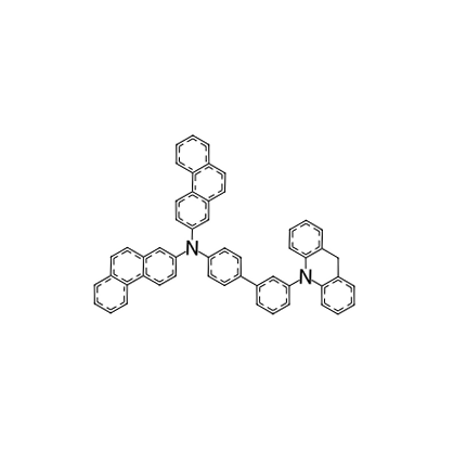 c1cc(-c2ccc(N(c3ccc4c(ccc5ccccc54)c3)c3ccc4c(ccc5ccccc54)c3)cc2)cc(N2c3ccccc3Cc3ccccc32)c1